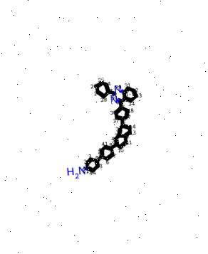 Nc1ccc(-c2ccc(-c3ccc4ccc(-c5ccc(-c6nc(-c7ccccc7)nc7ccccc67)cc5)cc4c3)cc2)cc1